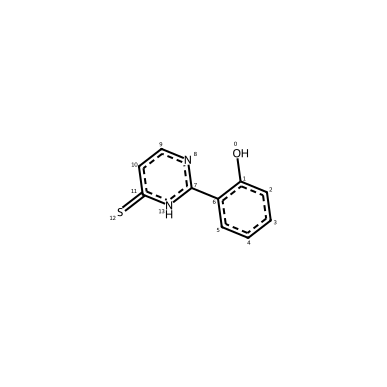 Oc1ccccc1-c1nccc(=S)[nH]1